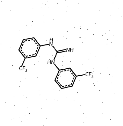 N=C(Nc1cccc(C(F)(F)F)c1)Nc1cccc(C(F)(F)F)c1